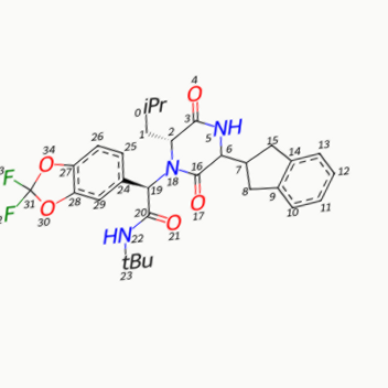 CC(C)C[C@@H]1C(=O)NC(C2Cc3ccccc3C2)C(=O)N1[C@@H](C(=O)NC(C)(C)C)c1ccc2c(c1)OC(F)(F)O2